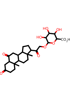 CC12CCC3C(CC(=O)C4CC(=O)CCC43C)C1CCC2C(=O)COC1OC(C(=O)O)C(O)C(O)C1O